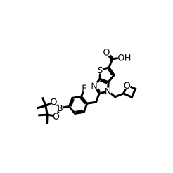 CC1(C)OB(c2ccc(Cc3nc4sc(C(=O)O)cc4n3CC3CCO3)c(F)c2)OC1(C)C